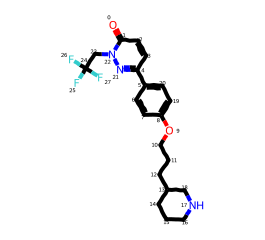 O=c1ccc(-c2ccc(OCCCC3CCCNC3)cc2)nn1CC(F)(F)F